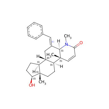 CN1C(=O)C=C[C@]2(C)[C@H]3CC[C@]4(C)[C@@H](O)CC[C@H]4[C@@H]3C/C(=C\c3ccccc3)[C@@H]12